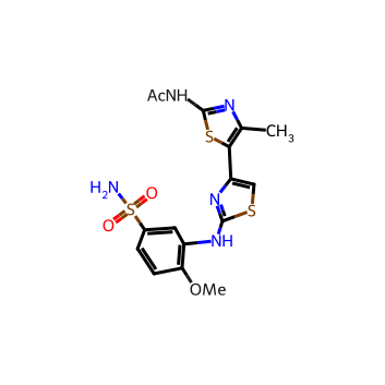 COc1ccc(S(N)(=O)=O)cc1Nc1nc(-c2sc(NC(C)=O)nc2C)cs1